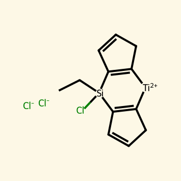 CC[Si]1(Cl)C2=[C](CC=C2)[Ti+2][C]2=C1C=CC2.[Cl-].[Cl-]